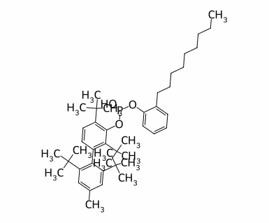 CCCCCCCCCc1ccccc1OP(O)Oc1c(C(C)(C)C)ccc(-c2c(C(C)(C)C)cc(C)cc2C(C)(C)C)c1C(C)(C)C